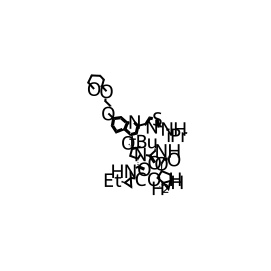 CC[C@@H]1CC1(NC(=O)[C@@H]1C[C@H](Oc2cc(-c3csc(NC(C)C)n3)nc3cc(OCCOC4CCCCO4)ccc23)CN1C(=O)[C@@H](NC(=O)O[C@@H]1C[C@@H]2C[C@@H]2C1)C(C)(C)C)C(=O)O